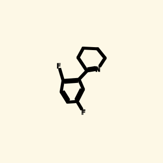 Fc1ccc(F)c(C2=NCCCC2)c1